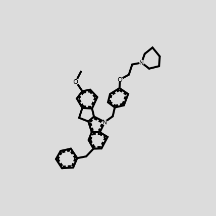 COc1ccc2c(c1)Cc1c-2n(Cc2ccc(OCCN3CCCCC3)cc2)c2ccc(Cc3ccccc3)cc12